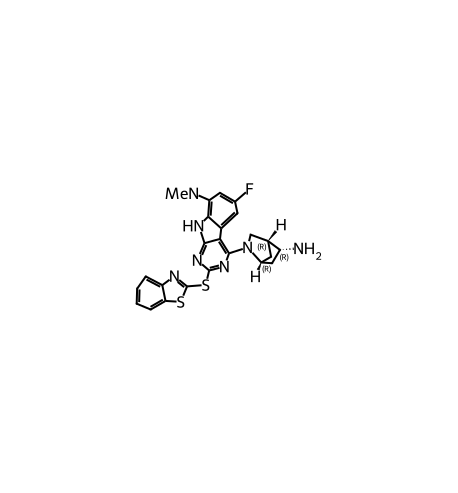 CNc1cc(F)cc2c1[nH]c1nc(Sc3nc4ccccc4s3)nc(N3C[C@H]4C[C@@H]3C[C@H]4N)c12